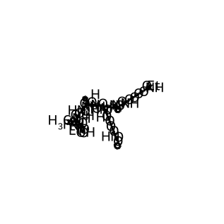 CCNC(=O)CCOCCOCCOCCOCCNC(=O)COC1CCCCCc2c1nnn2CCCC[C@@H](NC(=O)CCOCCOCCOCCOCCNC(=O)COC1C#CCCCCC1)C(=O)NCC(=O)NCC(=O)N[C@@H](Cc1ccccc1)C(=O)NCC(=O)NCOCC(=O)N[C@H]1CCc2c(C)c(F)cc3nc4c(c1c23)Cn1c-4cc2c(c1=O)COC(=O)[C@]2(O)CC